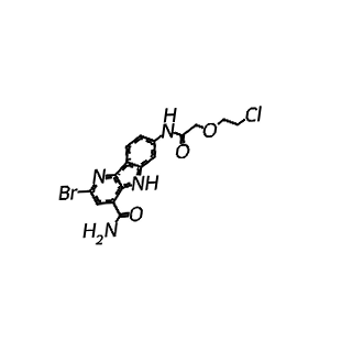 NC(=O)c1cc(Br)nc2c1[nH]c1cc(NC(=O)COCCCl)ccc12